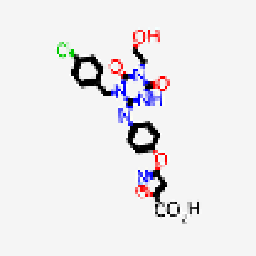 O=C(O)c1cc(Oc2ccc(/N=c3\[nH]c(=O)n(CCO)c(=O)n3Cc3ccc(Cl)cc3)cc2)no1